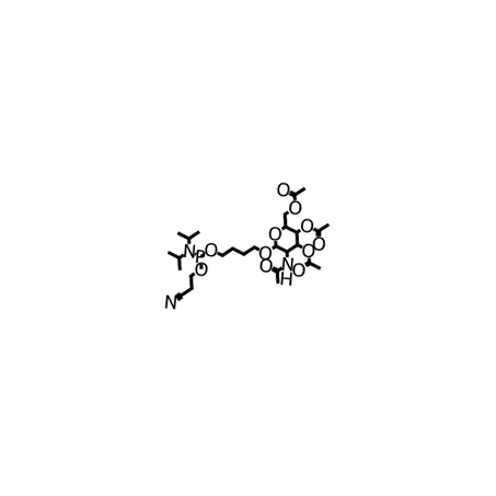 CC(=O)NC1C(OCCCCOP(OCCC#N)N(C(C)C)C(C)C)OC(COC(C)=O)C(OC(C)=O)C1OC(C)=O